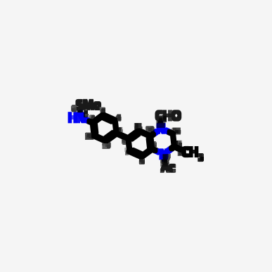 CSNc1ccc(-c2ccc3c(c2)N(C=O)CC(C)N3C(C)=O)cc1